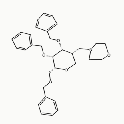 c1ccc(COC[C@H]2OC[C@@H](CN3CCOCC3)[C@@H](OCc3ccccc3)[C@H]2OCc2ccccc2)cc1